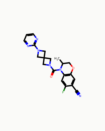 CC1COc2cc(C#N)c(F)cc2N1C(=O)N1CC2(C1)CN(c1ncccn1)C2